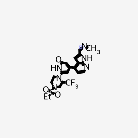 CCS(=O)(=O)N1CCN(c2cc(-c3ccnc4[nH]c(/C=N\C)cc34)cc(=O)[nH]2)C(C(F)(F)F)C1